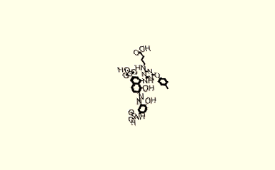 Cc1ccc(Oc2nc(NCCCC(=O)O)nc(Nc3cc(S(=O)(=O)O)cc4ccc(N=Nc5cc(N[SH](=O)=O)ccc5O)c(O)c34)n2)cc1